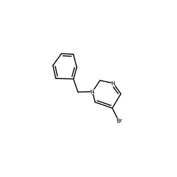 BrC1=CN(Cc2ccccc2)CN=C1